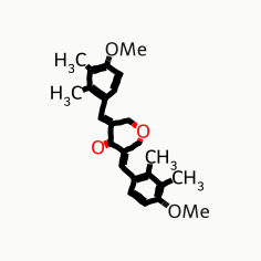 COc1ccc(C=C2COCC(=Cc3ccc(OC)c(C)c3C)C2=O)c(C)c1C